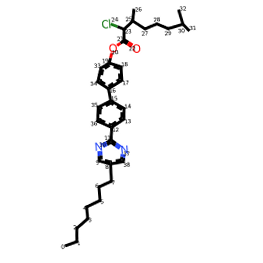 CCCCCCCCc1cnc(-c2ccc(-c3ccc(OC(=O)C(Cl)C(C)CCCC(C)C)cc3)cc2)nc1